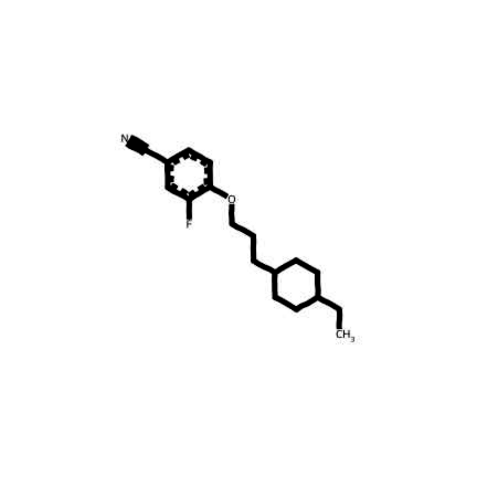 CCC1CCC(CCCOc2ccc(C#N)cc2F)CC1